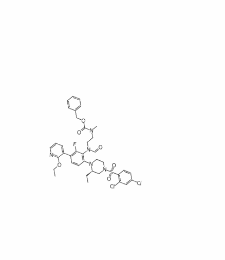 CCOc1ncccc1-c1ccc(N2CCN(S(=O)(=O)c3ccc(Cl)cc3Cl)C[C@H]2CC)c(N(C=O)CCN(C)C(=O)OCc2ccccc2)c1F